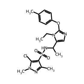 CCn1c(C(C)NS(=O)(=O)c2c(C)nn(C)c2Cl)cnc1Oc1ccc(C)cc1